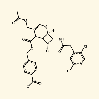 CC(=O)OCC1=CS[C@H]2C(NC(=O)Cc3cc(Cl)ccc3Cl)C(=O)N2C1C(=O)OCc1ccc([N+](=O)[O-])cc1